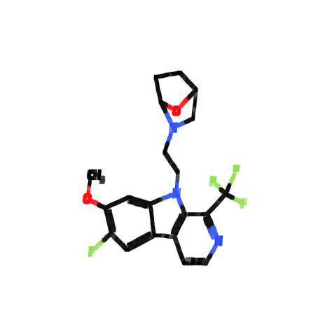 COc1cc2c(cc1F)c1ccnc(C(F)(F)F)c1n2CCN1CC2CCC1O2